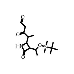 CC(O[Si](C)(C)C(C)(C)C)C1C(=O)NC1C(C)C(=O)CC=O